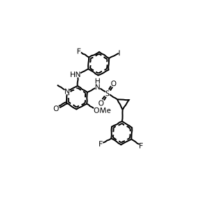 COc1cc(=O)n(C)c(Nc2ccc(I)cc2F)c1NS(=O)(=O)C1CC1c1cc(F)cc(F)c1